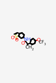 C=C(C(=O)Nc1ccc2c(c1)S(=O)(=O)C=C2)c1ccc(OC(F)(F)F)cc1